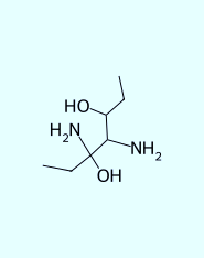 CCC(O)C(N)C(N)(O)CC